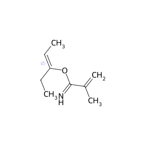 C=C(C)C(=N)O/C(=C\C)CC